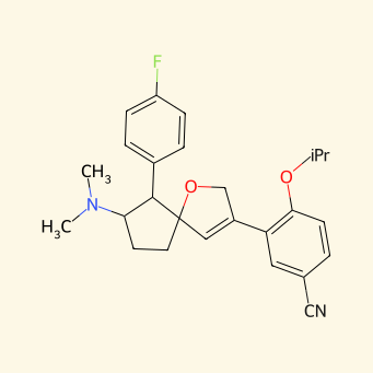 CC(C)Oc1ccc(C#N)cc1C1=CC2(CCC(N(C)C)C2c2ccc(F)cc2)OC1